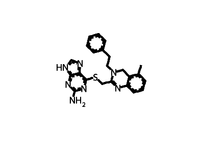 Cc1cccc2c1CN(CCc1ccccc1)C(CSc1nc(N)nc3[nH]cnc13)=N2